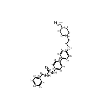 CN1CCN(CCOc2ccc(-c3ccc(NC(=O)NCc4ccccc4)cc3)cc2)CC1